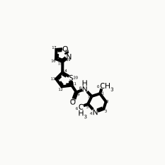 CC1CC=NC(C)C1NC(=O)c1ccc(-c2ccon2)s1